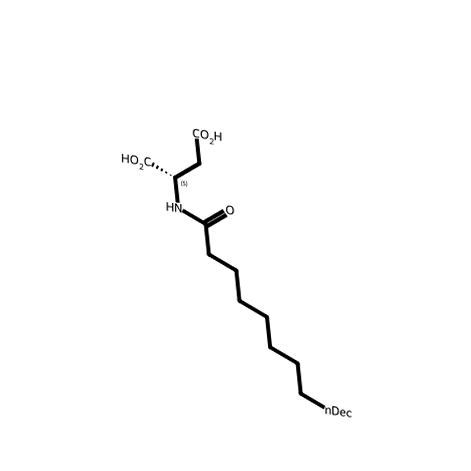 CCCCCCCCCCCCCCCCCC(=O)N[C@@H](CC(=O)O)C(=O)O